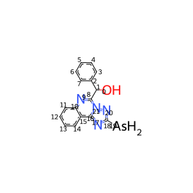 OC(c1ccccc1)c1nc2ccccc2c2nc([AsH2])nn12